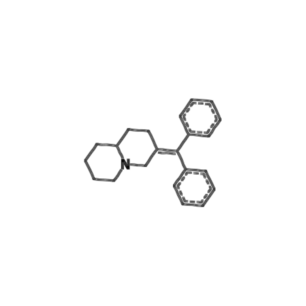 c1ccc(C(=C2CCC3CCCCN3C2)c2ccccc2)cc1